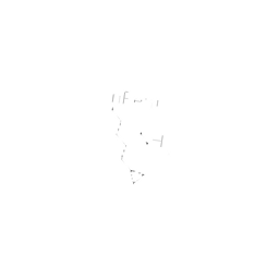 CCCCCCCCCCC1CC1.N